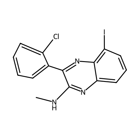 CNc1nc2cccc(I)c2nc1-c1ccccc1Cl